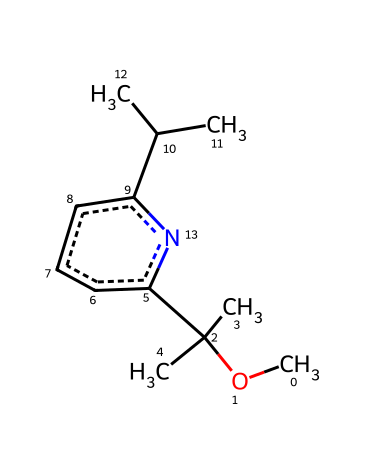 COC(C)(C)c1cccc(C(C)C)n1